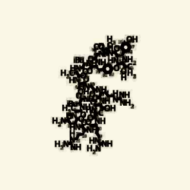 CC[C@H](C)[C@H](NC(=O)[C@H](C)NC(=O)[C@H](CC(N)=O)NC(=O)[C@H](CCCNC(=N)N)NC(=O)[C@H](CCCNC(=N)N)NC(=O)CNC(=O)[C@@H](NC(=O)[C@H](CCCNC(=N)N)NC(=O)CNC(=O)[C@H](CO)NC(=O)[C@H](C)NC(=O)[C@@H](NC(=O)[C@H](Cc1ccccc1)NC(=O)[C@H](CC(=O)O)NC(=O)[C@H](C)NC(=O)[C@H](Cc1ccc(O)cc1)NC(=O)[C@@H](N)[C@@H](C)O)[C@@H](C)CC)[C@@H](C)O)C(N)=O